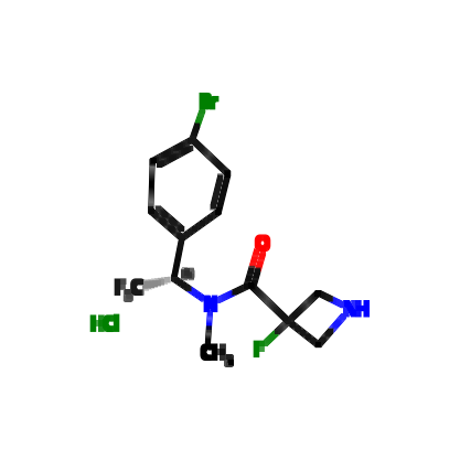 CN(C(=O)C1(F)CNC1)[C@@H](c1ccc(Br)cc1)C(F)(F)F.Cl